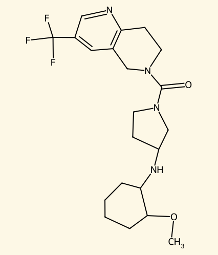 COC1CCCCC1NC1CCN(C(=O)N2CCc3ncc(C(F)(F)F)cc3C2)C1